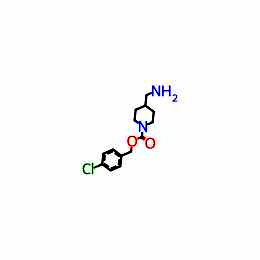 NCC1CCN(C(=O)OCc2ccc(Cl)cc2)CC1